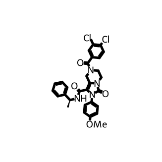 COc1ccc(-n2c(C(=O)N[C@@H](C)c3ccccc3)c3n(c2=O)CCN(C(=O)c2ccc(Cl)c(Cl)c2)C3)cc1